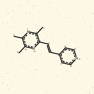 Cc1nc(C)c(C=Cc2ccncc2)nc1C